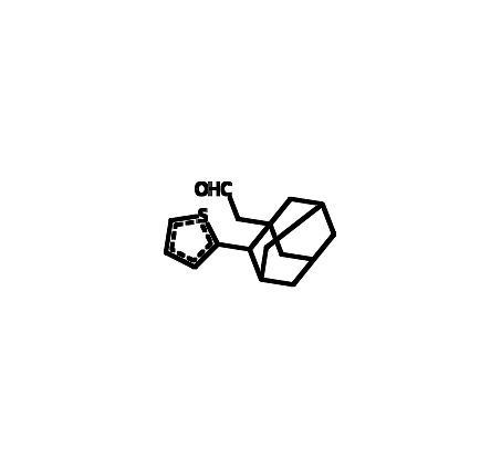 O=CCC12CC3CC(CC(C3)C1c1cccs1)C2